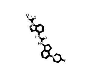 COC(=O)n1ncc2c(NC(=O)NC3CCc4c3cccc4N3CCC(F)CC3)cccc21